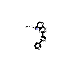 CO/N=C1\CCOc2nnc(-c3cnc(-c4cccnc4)s3)nc21